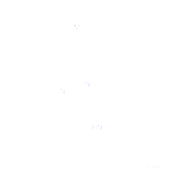 CSc1ccc(Nc2[nH]c(=O)ccc2C(=O)NCOCCO)c(F)c1